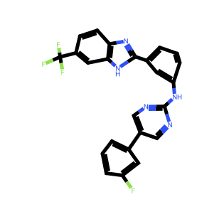 Fc1cccc(-c2cnc(Nc3cccc(-c4nc5ccc(C(F)(F)F)cc5[nH]4)c3)nc2)c1